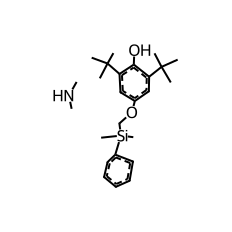 CC(C)(C)c1cc(OC[Si](C)(C)c2ccccc2)cc(C(C)(C)C)c1O.CNC